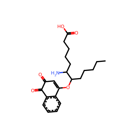 CCCCCC(OC1=CC(=O)C(=O)c2ccccc21)C(N)CCCCC(=O)O